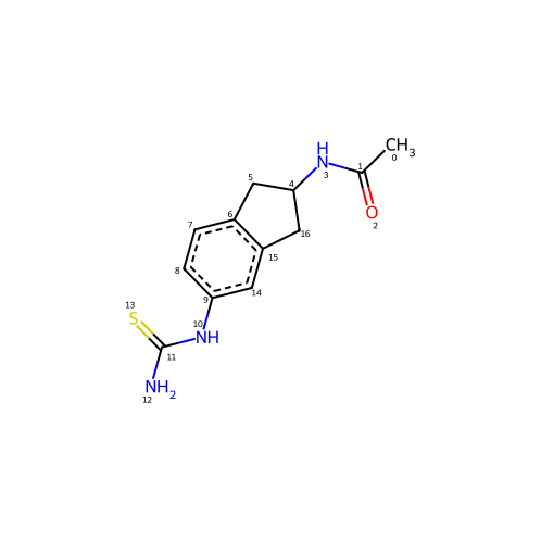 CC(=O)NC1Cc2ccc(NC(N)=S)cc2C1